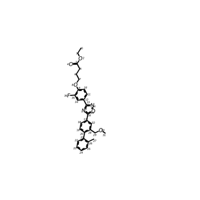 CCOC(=O)CCCOc1ccc(-c2noc(-c3ccc(-c4ccccc4C)c(COC)c3)n2)cc1F